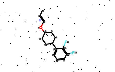 C/C=C/OC1CCC(c2cccc(F)c2F)CC1